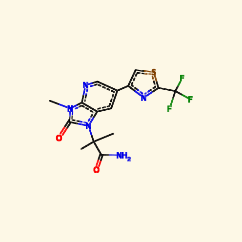 Cn1c(=O)n(C(C)(C)C(N)=O)c2cc(-c3csc(C(F)(F)F)n3)cnc21